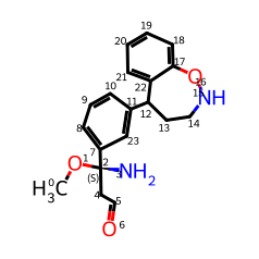 CO[C@@](N)(CC=O)c1cccc(C2CCNOc3ccccc32)c1